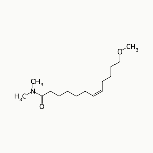 COCCCC/C=C\CCCCCC(=O)N(C)C